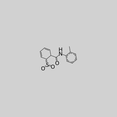 Cc1ccccc1NC(=O)C1C=CC=CC1=S(=O)=O